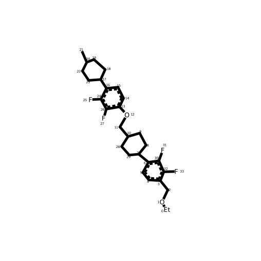 CCOCc1ccc(C2CCC(COc3ccc(C4CCC(C)CC4)c(F)c3F)CC2)c(F)c1F